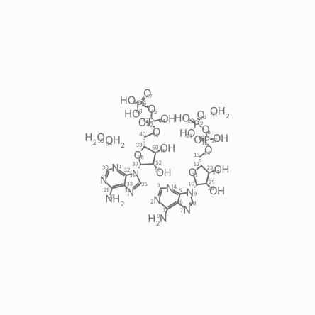 Nc1ncnc2c1ncn2[C@@H]1O[C@H](COP(=O)(O)OP(=O)(O)O)[C@@H](O)[C@H]1O.Nc1ncnc2c1ncn2[C@@H]1O[C@H](COP(=O)(O)OP(=O)(O)O)[C@@H](O)[C@H]1O.O.O.O